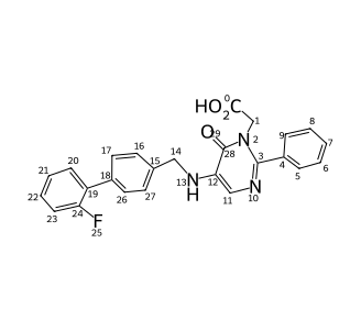 O=C(O)Cn1c(-c2ccccc2)ncc(NCc2ccc(-c3ccccc3F)cc2)c1=O